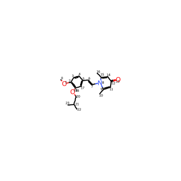 COc1ccc(/C=C/n2c(C)cc(=O)cc2C)cc1OCC(C)C